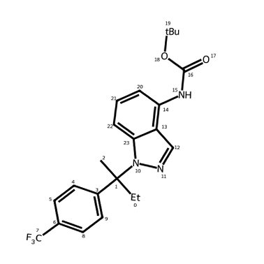 CCC(C)(c1ccc(C(F)(F)F)cc1)n1ncc2c(NC(=O)OC(C)(C)C)cccc21